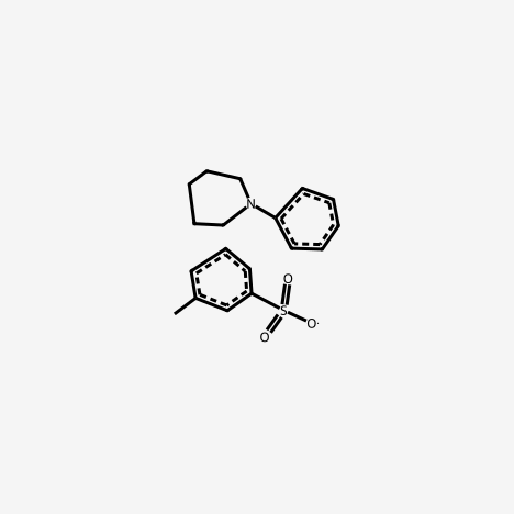 Cc1cccc(S([O])(=O)=O)c1.c1ccc(N2CCCCC2)cc1